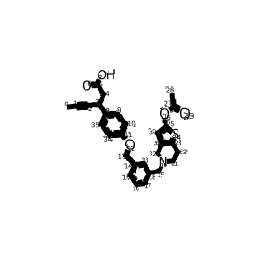 CC#CC(CC(=O)O)c1ccc(OCc2cccc(CN3CCc4sc(OC(C)=O)cc4C3)c2)cc1